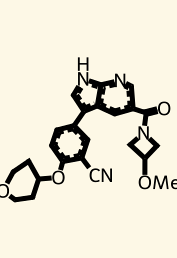 COC1CN(C(=O)c2cnc3[nH]cc(-c4ccc(OC5CCOCC5)c(C#N)c4)c3c2)C1